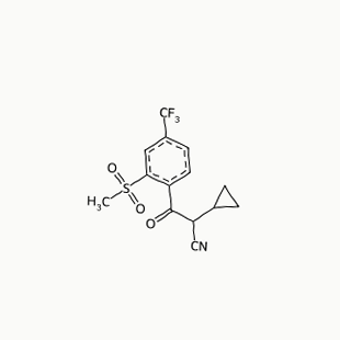 CS(=O)(=O)c1cc(C(F)(F)F)ccc1C(=O)C(C#N)C1CC1